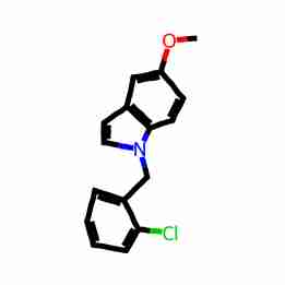 COc1ccc2c(ccn2Cc2ccccc2Cl)c1